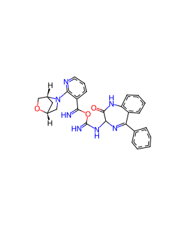 N=C(NC1N=C(c2ccccc2)c2ccccc2NC1=O)OC(=N)c1cccnc1N1C[C@H]2C[C@@H]1CO2